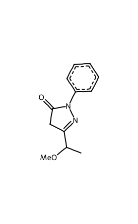 COC(C)C1=NN(c2ccccc2)C(=O)C1